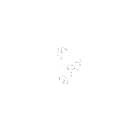 COc1ccc2c(c1)c(CC(=O)N(c1nccs1)C1CCCCC1)c(C)n2C(=O)c1ccccn1